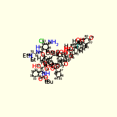 CC(=O)O[C@@]12CO[C@@H]1C[C@H](O)[C@@]1(C)C(=O)[C@H](O)C3=C(C)[C@@H](OC(=O)[C@H](O)[C@@H](NC(=O)OC(C)(C)C)c4ccccc4)C[C@@](O)([C@@H](OC(=O)c4ccccc4)[C@H]21)C3(C)C.CCN(CC)CCNC(=O)c1cc(Cl)c(N)cc1OC.C[C@@H]1C[C@H]2[C@@H]3CCC4=CC(=O)C=C[C@]4(C)[C@@]3(F)[C@@H](O)C[C@]2(C)[C@@]1(O)C(=O)CO